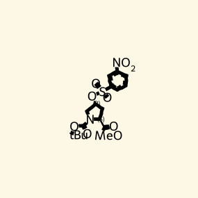 COC(=O)[C@@H]1C[C@@H](OS(=O)(=O)c2cccc([N+](=O)[O-])c2)CN1C(=O)OC(C)(C)C